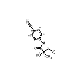 CC(O)(CBr)C(=O)Nc1cnc(C#N)nc1